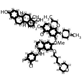 CC1COc2c(N3CCN(C)CC3)c(F)cc3c(=O)c(C(=O)O)cn1c23.COc1cc2ncnc(Nc3ccc(F)c(Cl)c3)c2cc1OCCCN1CCOCC1.C[C@]12CC[C@@H]3c4ccc(O)cc4CC[C@H]3[C@@H]1CC[C@@H]2O